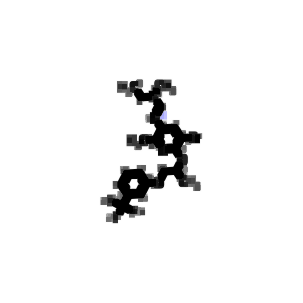 CCN(C)/C=N/c1cc(Br)c(OC(C)COc2cccc(C(F)(F)F)c2)nc1C